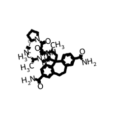 CC(C)n1nc(C2(C[C@H](C)NCC(=O)N3CCC[C@H]3C#N)c3ccc(C(N)=O)cc3CCc3cc(C(N)=O)ccc32)[nH]c1=O